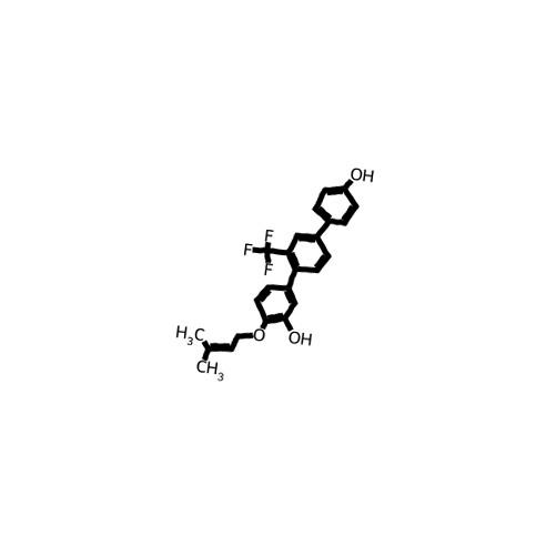 CC(C)=CCOc1ccc(-c2ccc(-c3ccc(O)cc3)cc2C(F)(F)F)cc1O